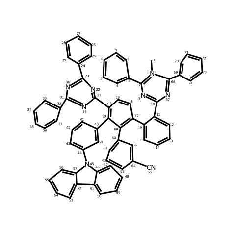 C[n+]1c(-c2ccccc2)nc(-c2ccccc2-c2ccc(-c3nc(-c4ccccc4)nc(-c4ccccc4)n3)c(-c3cccc(-n4c5ccccc5c5ccccc54)c3)c2-c2cccc(C#N)c2)nc1-c1ccccc1